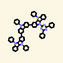 c1ccc(-c2nc(-c3ccccc3)nc(N3c4ccc(-c5ccc6c(c5)c5cc(-c7ccc8c(c7)C7C(c9ccccc9N7c7ccccc7)N8c7ccccc7)ccc5n6-c5ccccc5)cc4C4C3c3ccccc3N4c3ccccc3)n2)cc1